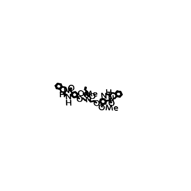 C=CCOC(=O)N(CCOc1cc2c(cc1OC)C(=O)N1Cc3ccccc3C[C@H]1C=N2)CCOc1cc2c(cc1OC)C(=O)N1Cc3ccccc3C[C@H]1CN2